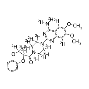 [2H]c1c(OC)c(OC)c([2H])c2c(N([2H])[2H])nc(N3C([2H])([2H])C([2H])([2H])N(C(=O)C4([2H])Oc5ccccc5OC4([2H])[2H])C([2H])([2H])C3([2H])[2H])nc12